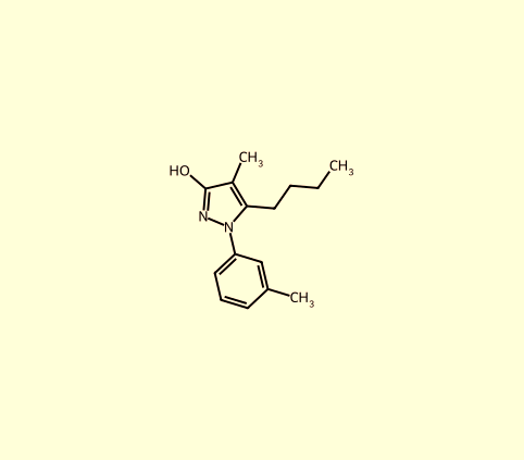 CCCCc1c(C)c(O)nn1-c1cccc(C)c1